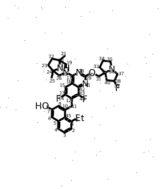 CCc1cccc2cc(O)cc(Cc3c(F)cc4c(N5CC6(C)CCC(C)(C5)N6)nc(OCC56CCCN5CC(F)C6)nc4c3F)c12